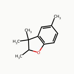 Cc1ccc2c(c1)C(C)(C)C(C)O2